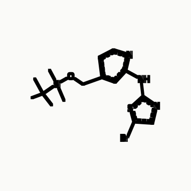 CC(C)(C)[Si](C)(C)OCc1ccnc(Nc2ncc(Br)s2)c1